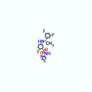 C[C@H](Nc1ccc(F)c(S(=O)(=O)Nc2cscn2)c1)c1cc(F)cc(F)c1